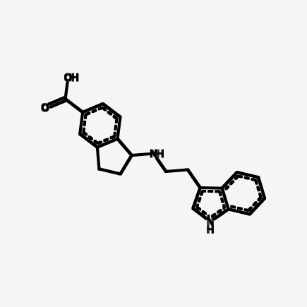 O=C(O)c1ccc2c(c1)CCC2NCCc1c[nH]c2ccccc12